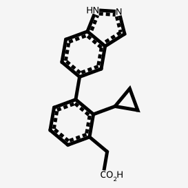 O=C(O)Cc1cccc(-c2ccc3[nH]ncc3c2)c1C1CC1